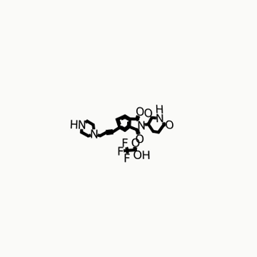 O=C(O)C(F)(F)F.O=C1CCC(N2C(=O)c3ccc(C#CCN4CCNCC4)cc3C2=O)C(=O)N1